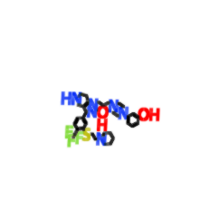 Oc1cccc(N2CCN(CC(O)Cn3nc(-c4ccc(C(F)(F)F)c(SCCN5CCCCC5)c4)c4c3CCNC4)CC2)c1